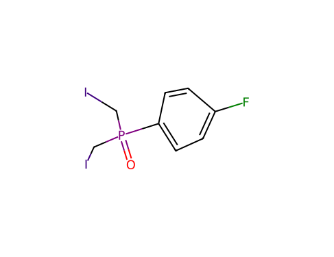 O=P(CI)(CI)c1ccc(F)cc1